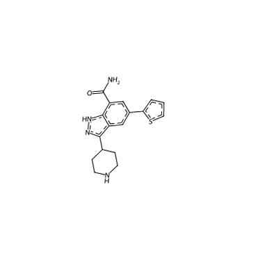 NC(=O)c1cc(-c2cccs2)cc2c(C3CCNCC3)n[nH]c12